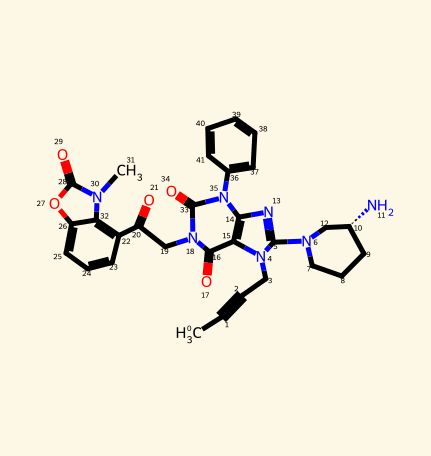 CC#CCn1c(N2CCC[C@@H](N)C2)nc2c1c(=O)n(CC(=O)c1cccc3oc(=O)n(C)c13)c(=O)n2-c1ccccc1